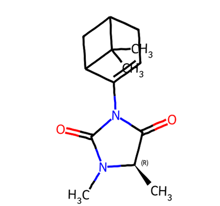 C[C@@H]1C(=O)N(C2=CCC3CC2C3(C)C)C(=O)N1C